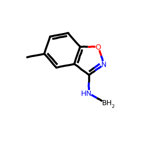 BNc1noc2ccc(C)cc12